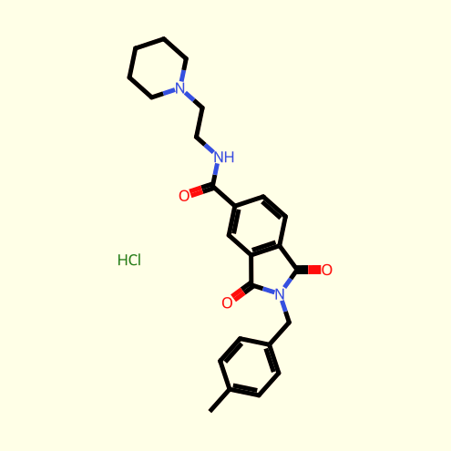 Cc1ccc(CN2C(=O)c3ccc(C(=O)NCCN4CCCCC4)cc3C2=O)cc1.Cl